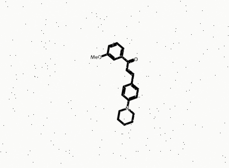 COc1cccc(C(=O)/C=C/c2ccc(N3CCCCC3)cc2)c1